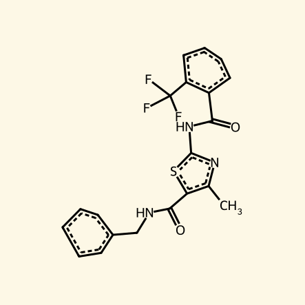 Cc1nc(NC(=O)c2ccccc2C(F)(F)F)sc1C(=O)NCc1ccccc1